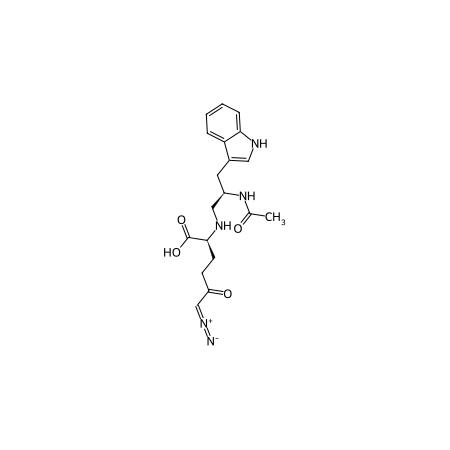 CC(=O)N[C@@H](CN[C@@H](CCC(=O)C=[N+]=[N-])C(=O)O)Cc1c[nH]c2ccccc12